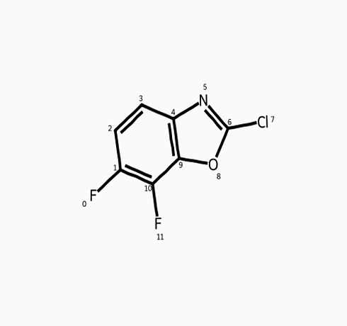 Fc1ccc2nc(Cl)oc2c1F